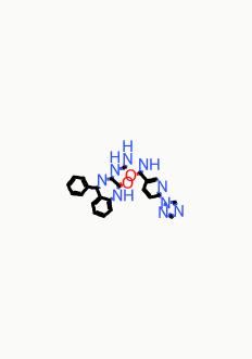 N=C(NC1N=C(c2ccccc2)c2ccccc2NC1=O)OC(=N)c1ccc(-n2cncn2)nc1